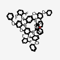 Fc1cccc(F)c1N1c2cc3c(cc2B2c4cc5c(cc4Oc4cc(Oc6ccccc6)cc1c42)N(c1c(F)cccc1F)c1cc(Oc2ccccc2)cc2c1B5c1sc4ccccc4c1O2)B1c2sc4ccccc4c2Oc2cc(Oc4ccccc4)cc(c21)O3